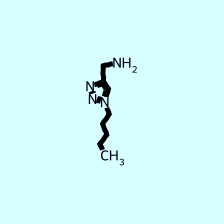 CCCCCn1cc(CN)nn1